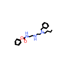 CCCCN(CCNCCNC(=O)Oc1ccccc1)Cc1ccccc1